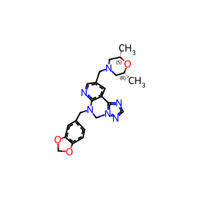 C[C@@H]1CN(Cc2cnc3c(c2)-c2ncnn2CN3Cc2ccc3c(c2)OCO3)C[C@H](C)O1